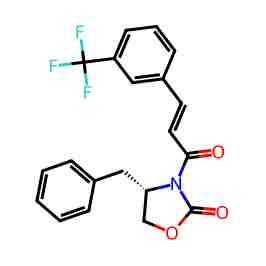 O=C(/C=C/c1cccc(C(F)(F)F)c1)N1C(=O)OC[C@@H]1Cc1ccccc1